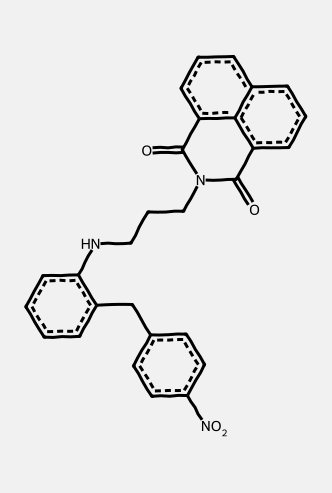 O=C1c2cccc3cccc(c23)C(=O)N1CCCNc1ccccc1Cc1ccc([N+](=O)[O-])cc1